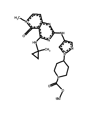 Cn1ccc2nc(Nc3cnn(C4CCN(C(=O)OC(C)(C)C)CC4)c3)nc(NC3(C)CC3)c2c1=O